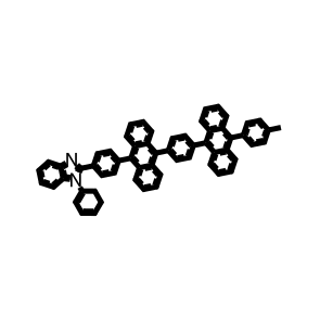 Cc1ccc(-c2c3ccccc3c(-c3ccc(-c4c5ccccc5c(-c5ccc(-c6nc7ccccc7n6C6=CC=CCC6)cc5)c5ccccc45)cc3)c3ccccc23)cc1